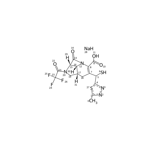 Cc1nnc(C(S)C2=C(C(=O)O)N3C(=O)[C@@H]4[C@H]3[C@H](C2)CN4C(=O)C(F)(F)F)s1.[NaH]